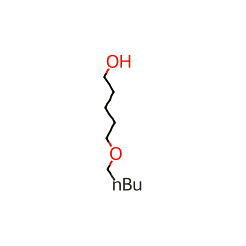 CCCCCOCCCCCO